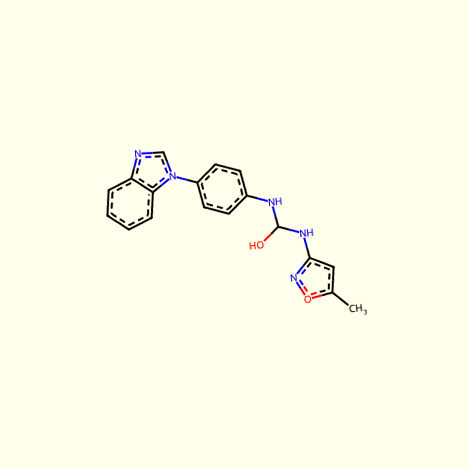 Cc1cc(NC(O)Nc2ccc(-n3cnc4ccccc43)cc2)no1